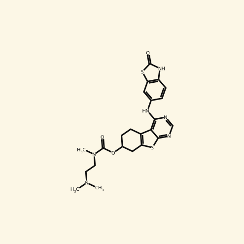 CN(C)CCN(C)C(=O)OC1CCc2c(sc3ncnc(Nc4ccc5[nH]c(=O)sc5c4)c23)C1